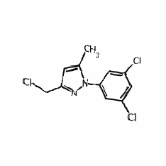 Cc1cc(CCl)nn1-c1cc(Cl)cc(Cl)c1